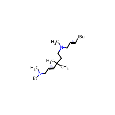 CCN(C)C/C=C/C(C)(C)CCN(C)C/C=C/C(C)(C)C